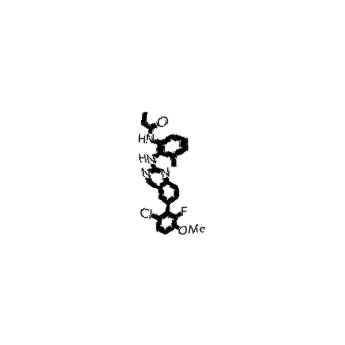 C=CC(=O)Nc1cccc(C)c1Nc1ncc2cc(-c3c(Cl)ccc(OC)c3F)ccc2n1